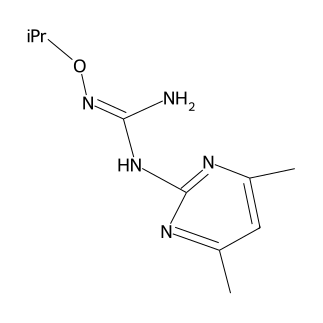 Cc1cc(C)nc(N/C(N)=N/OC(C)C)n1